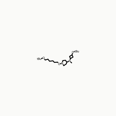 CN(C1CCN(OCCCCCCOC(C)(C)C)CC1)C1CC(OC(C)(C)C)C1